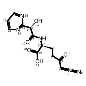 [N-]=[N+]=CC(=O)CC[C@H](NC(=O)[C@@H](O)c1ncccn1)C(=O)O